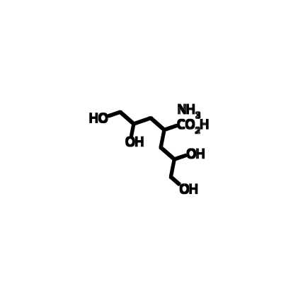 N.O=C(O)C(CC(O)CO)CC(O)CO